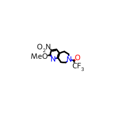 COc1nc2c(cc1[N+](=O)[O-])CCN(C(=O)C(F)(F)F)CC2